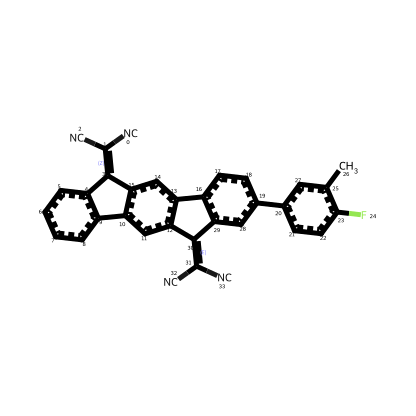 [C-]#[N+]/C(C#N)=C1/c2ccccc2-c2cc3c(cc21)-c1ccc(-c2ccc(F)c(C)c2)cc1/C3=C(/C#N)[N+]#[C-]